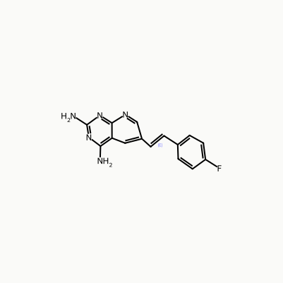 Nc1nc(N)c2cc(/C=C/c3ccc(F)cc3)cnc2n1